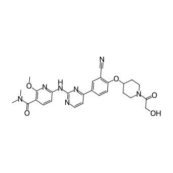 COc1nc(Nc2nccc(-c3ccc(OC4CCN(C(=O)CO)CC4)c(C#N)c3)n2)ccc1C(=O)N(C)C